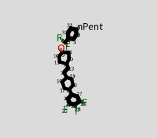 CCCCCc1ccc(C(F)(F)OC2CCC(/C=C/C3CCC(c4cc(F)c(F)c(F)c4)CC3)CC2)cc1